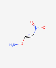 NO/C=C/[N+](=O)[O-]